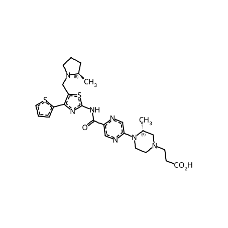 C[C@@H]1CCCN1Cc1sc(NC(=O)c2cnc(N3CCN(CCC(=O)O)C[C@H]3C)cn2)nc1-c1cccs1